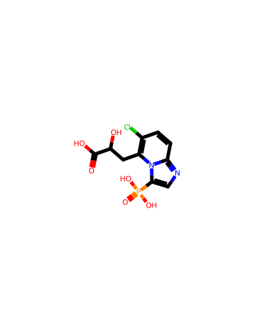 O=C(O)C(O)Cc1c(Cl)ccc2ncc(P(=O)(O)O)n12